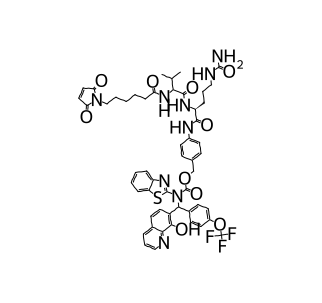 CC(C)C(NC(=O)CCCCCN1C(=O)C=CC1=O)C(=O)N[C@@H](CCCNC(N)=O)C(=O)Nc1ccc(COC(=O)N(c2nc3ccccc3s2)C(c2ccc(OC(F)(F)F)cc2)c2ccc3cccnc3c2O)cc1